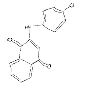 O=C1C=C(Nc2ccc(Cl)cc2)C(=O)c2ccccc21